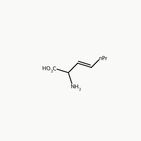 CCC/C=C/C(N)C(=O)O